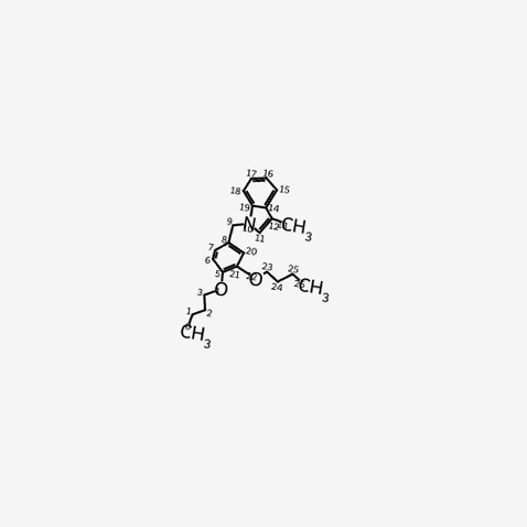 CCCCOc1ccc(Cn2cc(C)c3ccccc32)cc1OCCCC